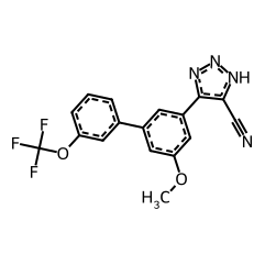 COc1cc(-c2cccc(OC(F)(F)F)c2)cc(-c2nn[nH]c2C#N)c1